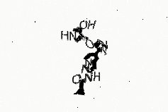 Cn1ncc(OC[C@H]2CNC[C@@H]2O)c1-c1ccn2nc(NC(=O)C3CC3)cc2c1